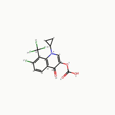 O=C(O)Oc1cn(C2CC2)c2c(C(F)(F)F)c(F)ccc2c1=O